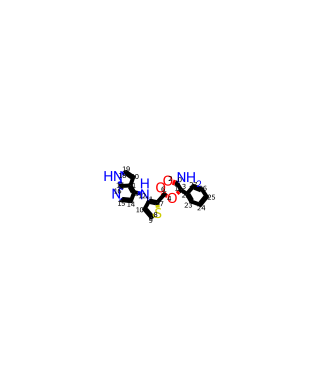 NC(=O)C(OC(=O)c1sccc1Nc1ccnc2[nH]ccc12)c1ccccc1